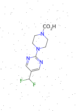 O=C(O)N1CCN(c2ncc(C(F)F)cn2)CC1